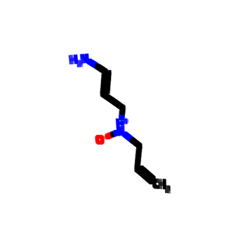 C=CC[NH+]([O-])CC=CN